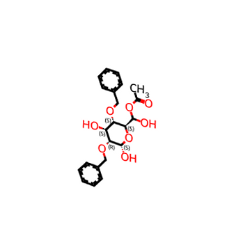 CC(=O)OC(O)[C@H]1O[C@H](O)[C@H](OCc2ccccc2)[C@@H](O)[C@@H]1OCc1ccccc1